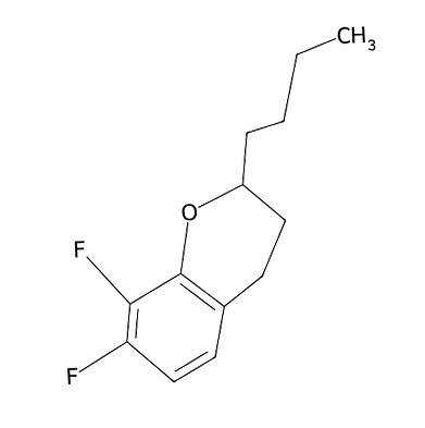 CCCCC1CCc2ccc(F)c(F)c2O1